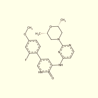 COc1ccc(-c2c[nH]c(=O)c(Nc3ccnc(N4C[C@@H](C)O[C@@H](C)C4)n3)c2)c(F)c1